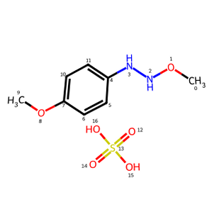 CONNc1ccc(OC)cc1.O=S(=O)(O)O